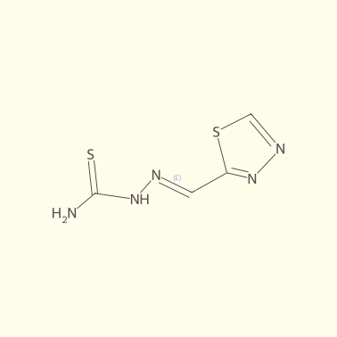 NC(=S)N/N=C/c1nncs1